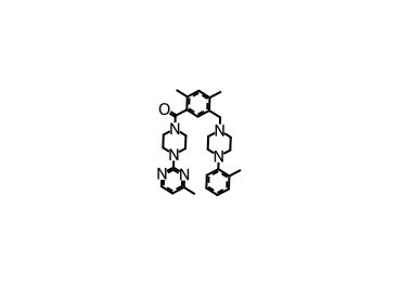 Cc1ccnc(N2CCN(C(=O)c3cc(CN4CCN(c5ccccc5C)CC4)c(C)cc3C)CC2)n1